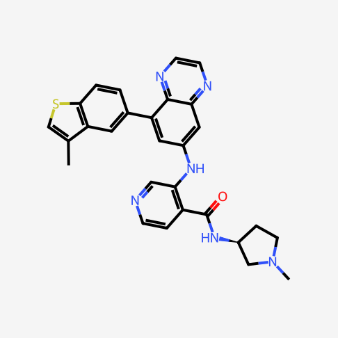 Cc1csc2ccc(-c3cc(Nc4cnccc4C(=O)N[C@H]4CCN(C)C4)cc4nccnc34)cc12